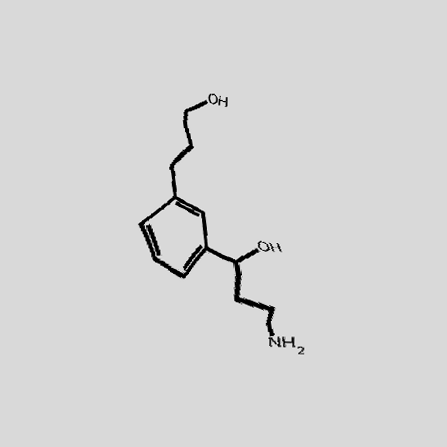 NCCC(O)c1cccc(CCCO)c1